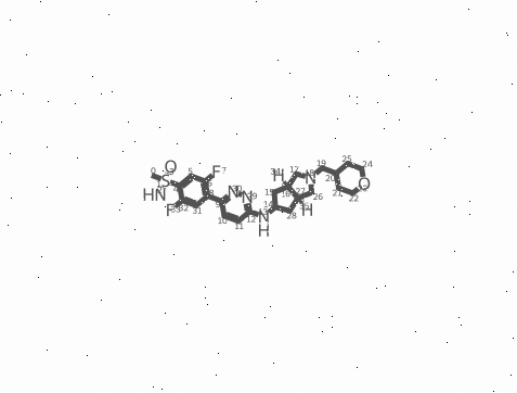 CS(=N)(=O)c1cc(F)c(-c2ccc(NC3C[C@@H]4CN(CC5CCOCC5)C[C@@H]4C3)nn2)cc1F